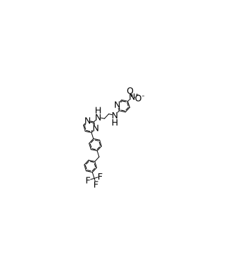 O=[N+]([O-])c1ccc(NCCNc2nccc(-c3ccc(Cc4cccc(C(F)(F)F)c4)cc3)n2)nc1